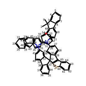 CC1(C)c2ccccc2-c2ccc(N(c3ccc(-c4ccccc4)cc3)c3ccc4c(c3)C3(c5ccccc5-c5ccc(N(c6ccccc6)c6ccccc6)cc53)c3sc5ccccc5c3-4)cc21